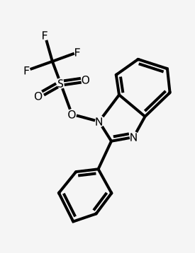 O=S(=O)(On1c(-c2ccccc2)nc2ccccc21)C(F)(F)F